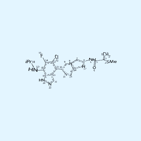 C=C(SC)C(=O)Nc1cn2cc(-c3c(Cl)c(F)c(NC(C)C)c4[nH]ncc34)ncc2n1